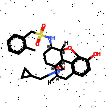 Cc1ccccc1CS(=O)(=O)N[C@@H]1CC[C@@]2(O)[C@H]3Cc4ccc(O)c5c4[C@@]2(CCN3CC2CC2)[C@H]1O5